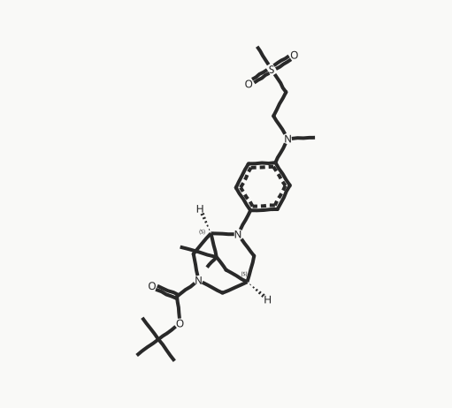 CN(CCS(C)(=O)=O)c1ccc(N2C[C@H]3CN(C(=O)OC(C)(C)C)C[C@@H]2C(C)(C)C3)cc1